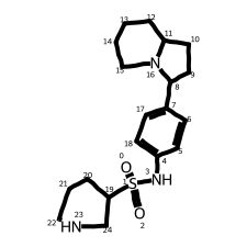 O=S(=O)(Nc1ccc(C2CCC3CCCCN32)cc1)C1CCCNC1